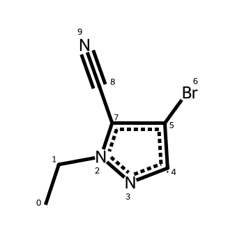 CCn1n[c]c(Br)c1C#N